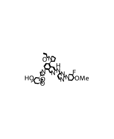 C=CC(=O)N1CCC[C@H]1c1ccc(N2CC([C@H]3C[C@@](C)(O)CCS3(=O)=O)C2)c2cnc(Nc3ccnc(N4CC[C@@H](OC)[C@@H](F)C4)n3)cc12